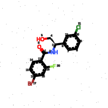 O=C(N[C@H](CO)c1cccc(Cl)c1)c1ccc(Br)cc1F